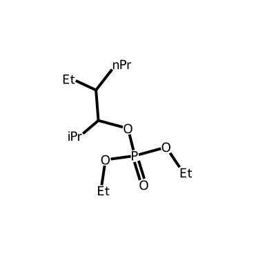 CCCC(CC)C(OP(=O)(OCC)OCC)C(C)C